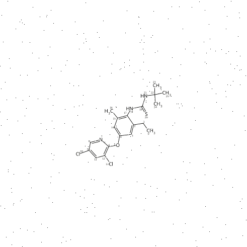 CCc1cc(Oc2ncc(Cl)cc2Cl)cc(C)c1NC(=S)NC(C)(C)C